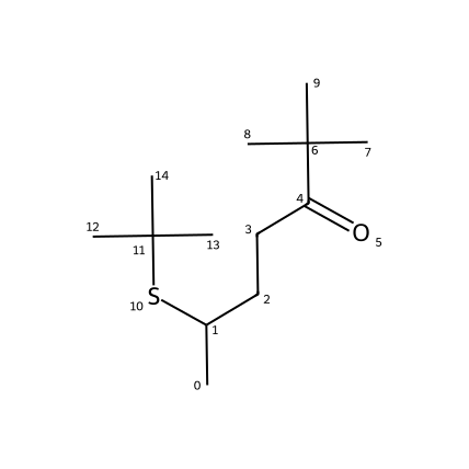 CC(CCC(=O)C(C)(C)C)SC(C)(C)C